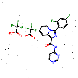 O=C(Nc1ccncn1)c1nc(-c2ccc(F)cc2F)n2ccccc12.O=C(O)C(F)(F)F.O=C(O)C(F)(F)F